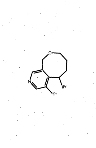 CC(C)c1cncc2c1C(C(C)C)CCCOC2